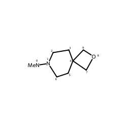 CNN1CCC2(CC1)COC2